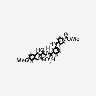 COC(=O)N1CCC(Nc2cc(C(=O)NC[C@@H](O)[C@@H]3Cc4ccc(OC)cc4CN3C(=O)O)ccn2)CC1